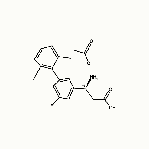 CC(=O)O.Cc1cccc(C)c1-c1cc(F)cc([C@@H](N)CC(=O)O)c1